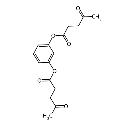 CC(=O)CCC(=O)Oc1cccc(OC(=O)CCC(C)=O)c1